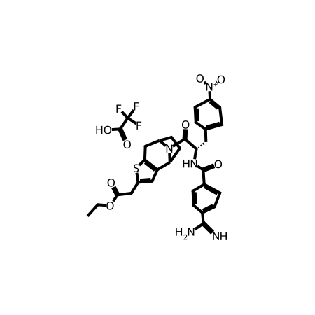 CCOC(=O)Cc1cc2c(s1)CC1CCC2N1C(=O)[C@H](Cc1ccc([N+](=O)[O-])cc1)NC(=O)c1ccc(C(=N)N)cc1.O=C(O)C(F)(F)F